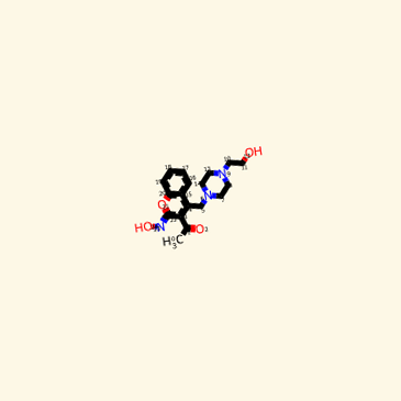 CC(=O)c1c(CN2CCN(CCO)CC2)c2ccccc2oc1=NO